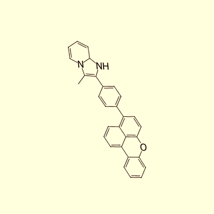 CC1=C(c2ccc(-c3ccc4c5c(cccc35)-c3ccccc3O4)cc2)NC2C=CC=CN12